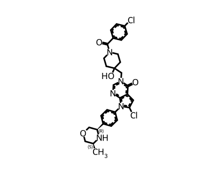 C[C@H]1COC[C@@H](c2ccc(-n3c(Cl)cc4c(=O)n(CC5(O)CCN(C(=O)c6ccc(Cl)cc6)CC5)cnc43)cc2)N1